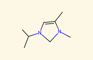 CC1=CN(C(C)C)CN1C